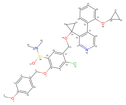 COc1ccc(COc2cc(Cl)c(COC3(c4cnccc4-c4ccccc4OC4CC4)CC3)cc2[S+]([O-])N(C)C)cc1